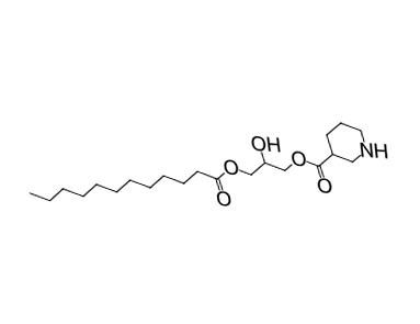 CCCCCCCCCCCC(=O)OCC(O)COC(=O)C1CCCNC1